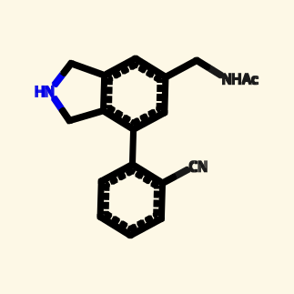 CC(=O)NCc1cc2c(c(-c3ccccc3C#N)c1)CNC2